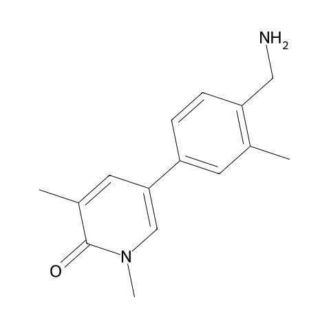 Cc1cc(-c2cc(C)c(=O)n(C)c2)ccc1CN